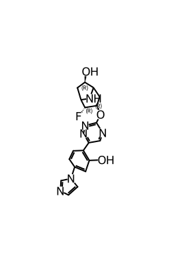 Oc1cc(-n2ccnc2)ccc1-c1cnc(O[C@@H]2CC3NC(C[C@H]3O)[C@H]2F)nn1